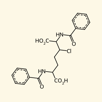 O=C(NC(CCC(Cl)C(NC(=O)c1ccccc1)C(=O)O)C(=O)O)c1ccccc1